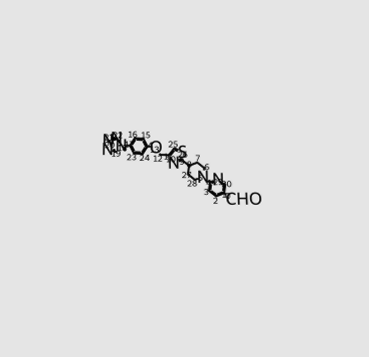 O=Cc1ccc(N2CCC(c3nc(COc4ccc(-n5cnnn5)cc4)cs3)CC2)nc1